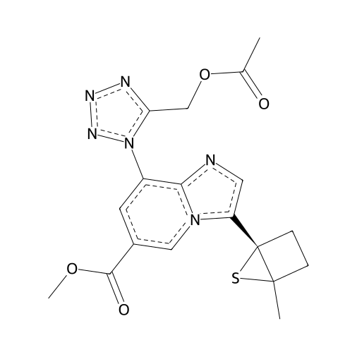 COC(=O)c1cc(-n2nnnc2COC(C)=O)c2ncc([C@@]34CCC3(C)S4)n2c1